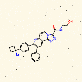 NC1(c2ccc(-c3nc4ccn5c(C(=O)NCCO)nnc5c4cc3-c3ccccc3)cc2)CCC1